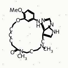 COc1ccc2cc1OCCCCCC(=O)N(C)CCCN(C)Cc1c[nH]c3ncnc(c13)N2